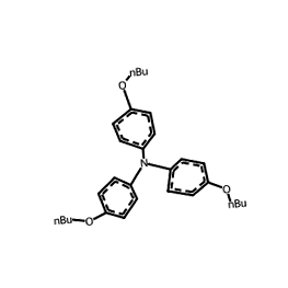 CCCCOc1ccc(N(c2ccc(OCCCC)cc2)c2ccc(OCCCC)cc2)cc1